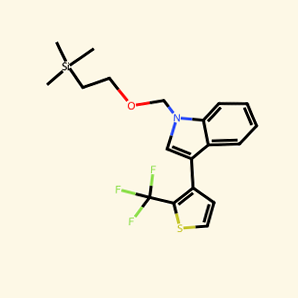 C[Si](C)(C)CCOCn1cc(-c2ccsc2C(F)(F)F)c2ccccc21